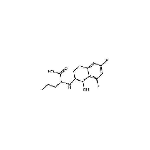 CCCC(NC1CCc2cc(F)cc(F)c2C1O)C(=O)O